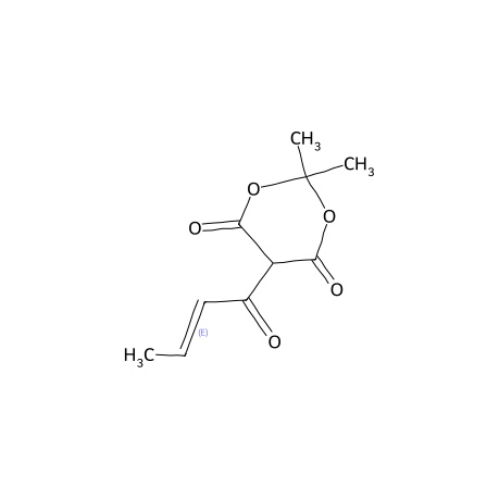 C/C=C/C(=O)C1C(=O)OC(C)(C)OC1=O